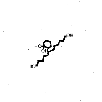 OC1(O)CCCCC1.OCCCCCCCCCCCCO